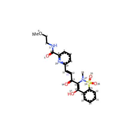 COCCNC(=O)c1cccc(/C=C/C(=O)C2=C(O)c3ccccc3S(=O)(=O)N2C)n1